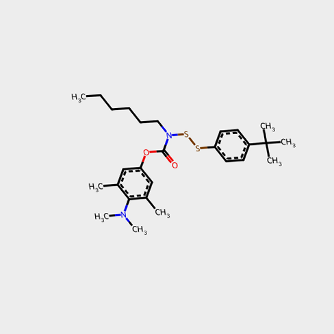 CCCCCCN(SSc1ccc(C(C)(C)C)cc1)C(=O)Oc1cc(C)c(N(C)C)c(C)c1